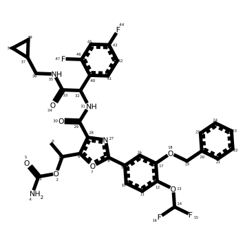 CC(OC(N)=O)c1oc(-c2ccc(OC(F)F)c(OCc3ccccc3)c2)nc1C(=O)NC(C(=O)NCC1CC1)c1ccc(F)cc1F